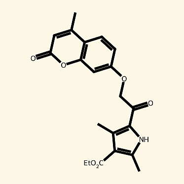 CCOC(=O)c1c(C)[nH]c(C(=O)COc2ccc3c(C)cc(=O)oc3c2)c1C